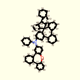 c1ccc(N(c2ccc3c(c2)-c2ccccc2-c2ccccc2O3)c2ccc3c(c2)-c2ccccc2-c2ccccc2C32c3ccccc3-c3c2ccc2ccccc32)cc1